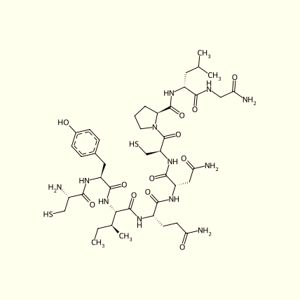 CC[C@H](C)[C@H](NC(=O)[C@H](Cc1ccc(O)cc1)NC(=O)[C@@H](N)CS)C(=O)N[C@@H](CCC(N)=O)C(=O)N[C@@H](CC(N)=O)C(=O)N[C@@H](CS)C(=O)N1CCC[C@H]1C(=O)N[C@H](CC(C)C)C(=O)NCC(N)=O